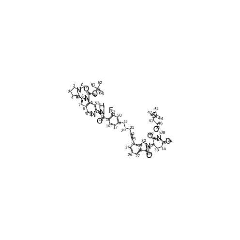 CN1CCC[C@@H]1c1cc2cnc(NC(=O)c3ccc(CCCC#Cc4cccc5c4CN(C4CCC(=O)N(COCC[Si](C)(C)C)C4=O)C5=O)cc3F)cc2n1C(=O)OC(C)(C)C